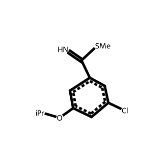 CSC(=N)c1cc(Cl)cc(OC(C)C)c1